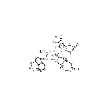 COC(=O)C1(Nc2cccc(Cl)c2)CCC2(CC1)c1cc3c(cc1C[C@@H]2C[C@@H](C)COc1ccnc2c1[C@H](C)CCC2)OCC[C@H](O)CO3